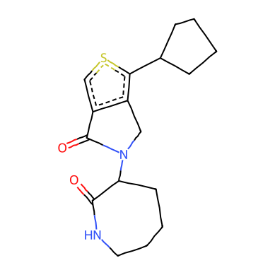 O=C1NCCCCC1N1Cc2c(csc2C2CCCC2)C1=O